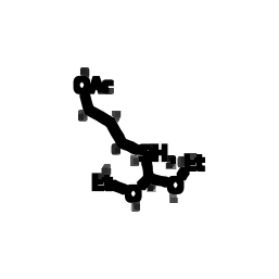 CCOC(OCC)[SiH2]CCCOC(C)=O